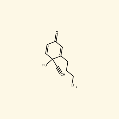 C#CC1(O)C=CC(=O)C=C1CCCC